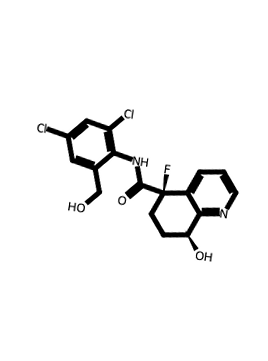 O=C(Nc1c(Cl)cc(Cl)cc1CO)[C@@]1(F)CC[C@H](O)c2ncccc21